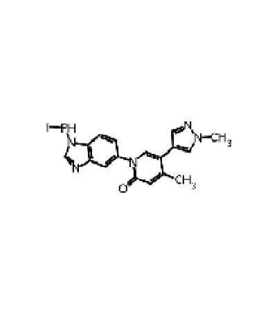 Cc1cc(=O)n(-c2ccc3c(c2)ncn3PI)cc1-c1cnn(C)c1